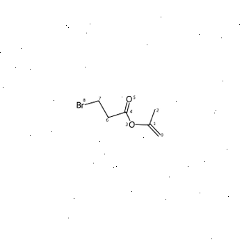 C=C(C)OC(=O)CCBr